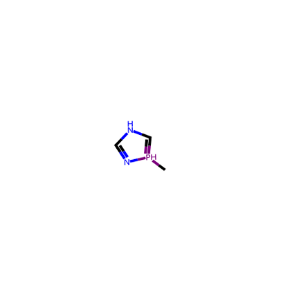 C[PH]1=CNC=N1